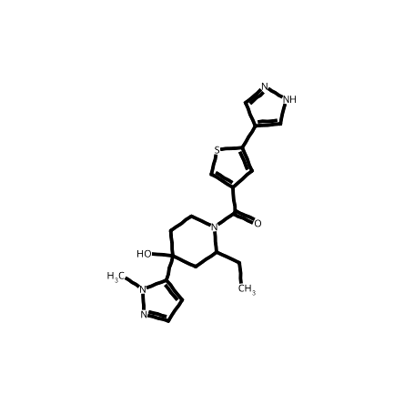 CCC1CC(O)(c2ccnn2C)CCN1C(=O)c1csc(-c2cn[nH]c2)c1